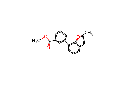 COC(=O)c1cccc(-c2cccc3cc(C)oc23)c1